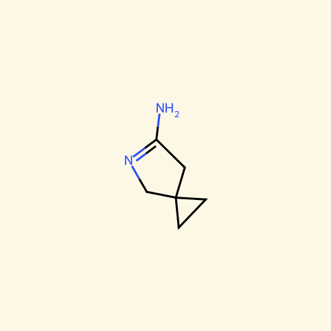 NC1=NCC2(CC2)C1